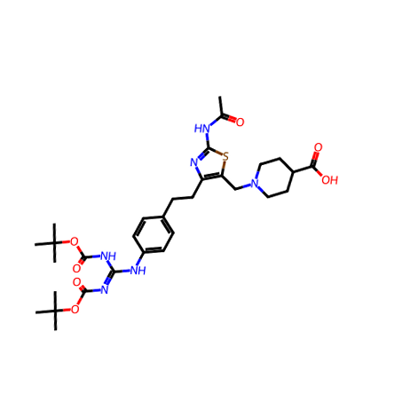 CC(=O)Nc1nc(CCc2ccc(N/C(=N/C(=O)OC(C)(C)C)NC(=O)OC(C)(C)C)cc2)c(CN2CCC(C(=O)O)CC2)s1